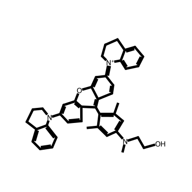 Cc1cc(N(C)CCO)cc(C)c1-c1c2cc/c(=[N+]3/CCCc4ccccc43)cc-2oc2cc(N3CCCc4ccccc43)ccc12